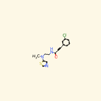 CN(CCNC(=O)C#Cc1cccc(Cl)c1)c1cncs1